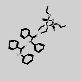 CCOP(=S)(OCC)OP(=S)(OCC)OCC.O=C(Nc1ccccc1)c1ccccc1.O=C(Nc1ccccc1)c1ccccc1